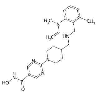 C=CN(C)c1cccc(C)c1CNCC1CCN(c2ncc(C(=O)NO)cn2)CC1